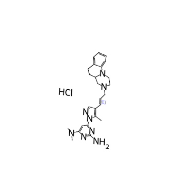 Cc1c(/C=C/CN2CCN3c4ccccc4CCC3C2)cnn1-c1cc(N(C)C)nc(N)n1.Cl